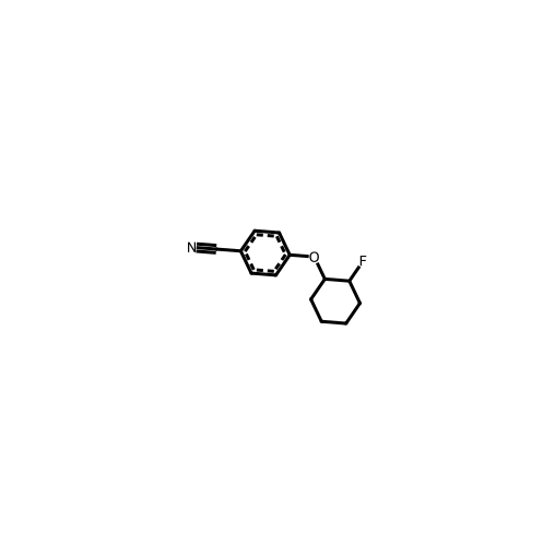 N#Cc1ccc(OC2CCCCC2F)cc1